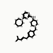 CC(C)C=CCC1=CCC(CN2CCC(Nc3nccc(N4CCCCCC4)n3)CC2)CC1